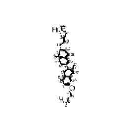 C=CCOc1cc(F)c2cc([C@@H]3CC[C@@H]4CC(CCCCC)CCC4C3)c(F)cc2c1